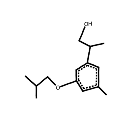 C[C](CO)c1cc(C)cc(OCC(C)C)c1